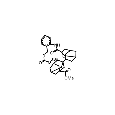 COC(=O)C12CC3CC(C1)CC(C14CC5CC(CC(C(=O)Nc6ccccc6CNC(=O)OC(C)(C)C)(C5)C1)C4)(C3)C2